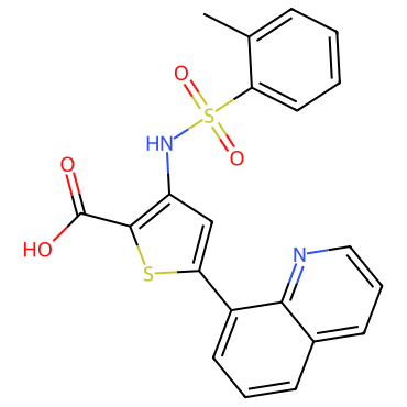 Cc1ccccc1S(=O)(=O)Nc1cc(-c2cccc3cccnc23)sc1C(=O)O